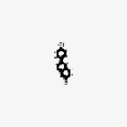 CCC1CC=C(c2ccc3cc(Br)ccc3c2)CC1